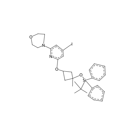 CC1(O[Si](c2ccccc2)(c2ccccc2)C(C)(C)C)CC(Oc2cc(I)cc(N3CCOCC3)n2)C1